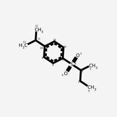 CCC(C)S(=O)(=O)c1ccc(C(C)C)cc1